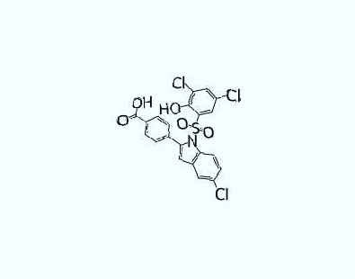 O=C(O)c1ccc(-c2cc3cc(Cl)ccc3n2S(=O)(=O)c2cc(Cl)cc(Cl)c2O)cc1